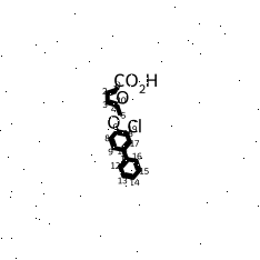 O=C(O)c1ccc(COc2ccc(-c3ccccc3)cc2Cl)o1